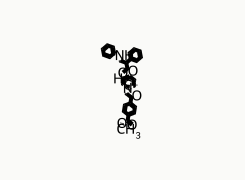 COC(=O)c1ccc(C(=O)C[N+]23CCC(CC2)[C@@H](OC(=O)C(CNc2ccccc2)c2ccccc2)C3)cc1